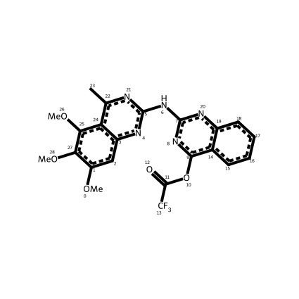 COc1cc2nc(Nc3nc(OC(=O)C(F)(F)F)c4ccccc4n3)nc(C)c2c(OC)c1OC